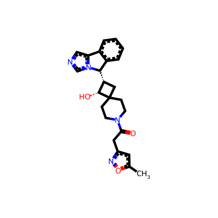 Cc1cc(CC(=O)N2CCC3(CC2)C[C@@H](C2c4ccccc4-c4cncn42)[C@H]3O)no1